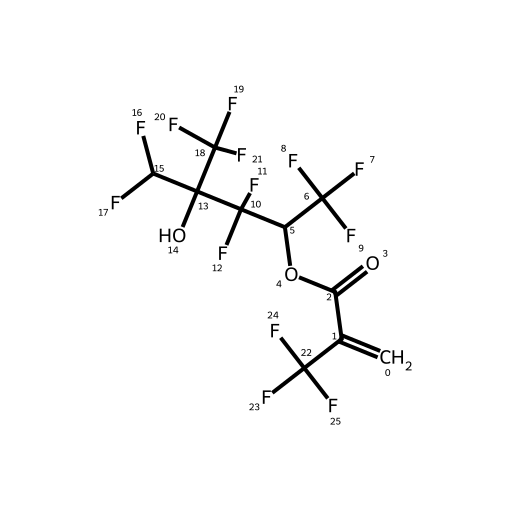 C=C(C(=O)OC(C(F)(F)F)C(F)(F)C(O)(C(F)F)C(F)(F)F)C(F)(F)F